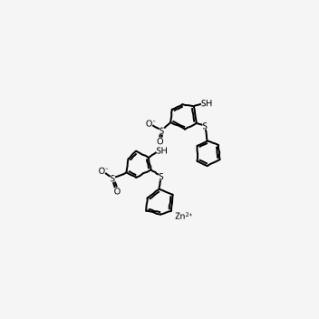 O=S([O-])c1ccc(S)c(Sc2ccccc2)c1.O=S([O-])c1ccc(S)c(Sc2ccccc2)c1.[Zn+2]